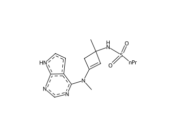 CCCS(=O)(=O)NC1(C)C=C(N(C)c2ncnc3[nH]ccc23)C1